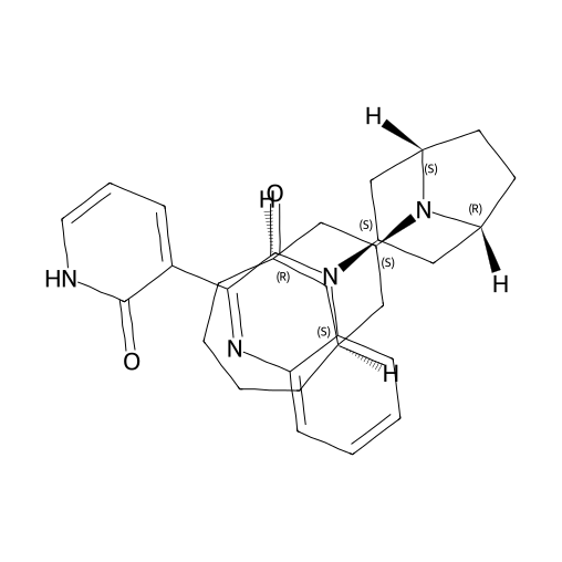 O=c1[nH]cccc1-c1nc2ccccc2n([C@@H]2C[C@H]3CC[C@@H](C2)N3[C@@H]2C[C@@H]3CCCC[C@@H](C3)C2)c1=O